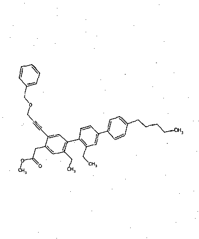 CCCCCc1ccc(-c2ccc(-c3cc(C#CCOCc4ccccc4)c(CC(=O)OC)cc3CC)c(CC)c2)cc1